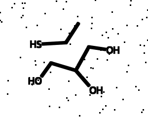 CCS.OCC(O)CO